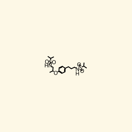 CC(CNS(=O)(=O)C(C)C)Oc1ccc(CCCNS(=O)(=O)C(C)C)cc1